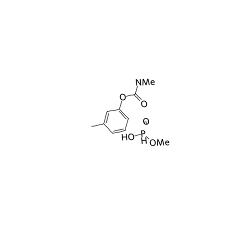 CNC(=O)Oc1cccc(C)c1.CO[PH](=O)O